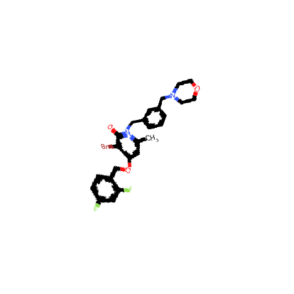 Cc1cc(OCc2ccc(F)cc2F)c(Br)c(=O)n1Cc1cccc(CN2CCOCC2)c1